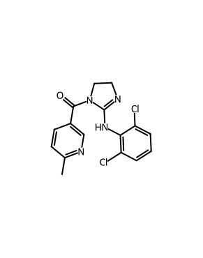 Cc1ccc(C(=O)N2CCN=C2Nc2c(Cl)cccc2Cl)cn1